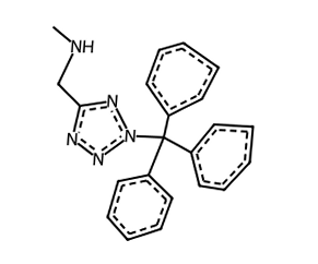 CNCc1nnn(C(c2ccccc2)(c2ccccc2)c2ccccc2)n1